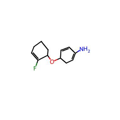 NC1=CCC(OC2CCCC=C2F)C=C1